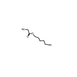 CC(C)CCCCCOC(=O)CC#N